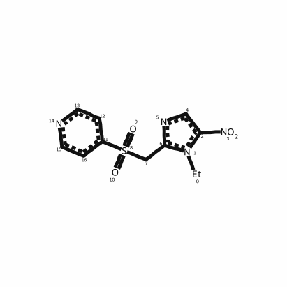 CCn1c([N+](=O)[O-])cnc1CS(=O)(=O)c1ccncc1